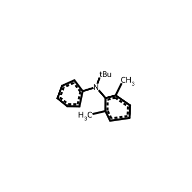 Cc1cccc(C)c1N(c1ccccc1)C(C)(C)C